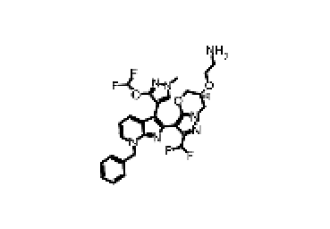 Cn1cc(-c2c3cccn(Cc4ccccc4)c-3nc2-c2c(C(F)F)nn3c2OC[C@@H](OCCN)C3)c(OC(F)F)n1